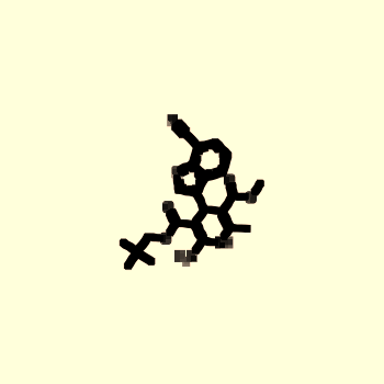 COC(=O)C1=C(C)NC(N)=C(C(=O)OCC(C)(C)C)C1c1csc2c(C#N)cccc12